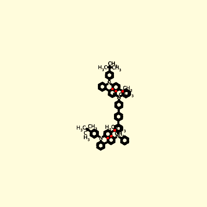 CC(C)(C)c1ccc(N(c2ccc(C(C)(C)C)cc2)c2ccccc2-c2ccc(N(c3ccccc3)c3ccc(-c4ccc(-c5ccc(N(c6ccccc6)c6ccc(-c7ccccc7N(c7ccc(C(C)(C)C)cc7)c7ccc(C(C)(C)C)cc7)cc6)cc5)cc4)cc3)cc2)cc1